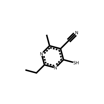 CCc1nc(C)c(C#N)c(S)n1